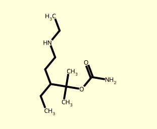 CCNCCC(CC)C(C)(C)OC(N)=O